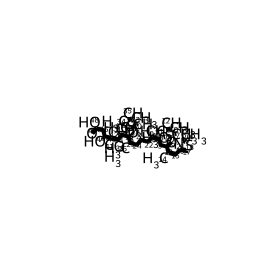 CC(=CCC(O[Si](C)(C)C(C)(C)C)C(C)=Cc1csc(C)n1)CCC[C@H](C)[C@H](O[Si](C)(C)C(C)(C)C)[C@@H](C)C(=O)C(C)(C)[C@H](O)CC(=O)O